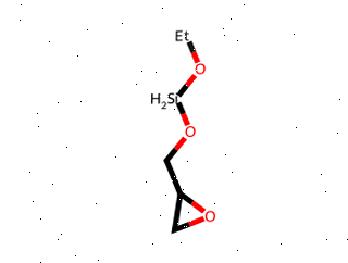 CCO[SiH2]OCC1CO1